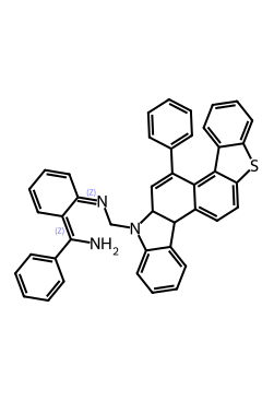 N/C(=C1/C=CC=C/C1=N/CN1c2ccccc2C2c3ccc4sc5ccccc5c4c3C(c3ccccc3)=CC21)c1ccccc1